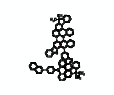 CC1(C)c2ccccc2-c2c(-c3ccccc3N(c3ccc(-c4ccc5ccccc5c4)cc3)c3ccccc3-c3ccc4sc5cc(-c6ccc(N(c7ccccc7-c7ccc8sc9ccccc9c8c7)c7ccccc7-c7cccc8c7-c7ccccc7C8(C)C)c7ccccc67)ccc5c4c3)cccc21